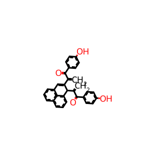 C=C(C(=O)c1ccc(O)cc1)C1=Cc2cccc3cccc(c23)C1C(=C)C(=O)c1ccc(O)cc1